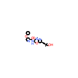 CN1C(=O)[C@@H](NC(=O)c2cc(Oc3ccccc3)ccn2)COc2cc(C#CC(C)(C)CO)cnc21